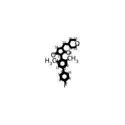 Cc1cc(-c2ccc(F)cc2)cc(C)c1C1C(=O)CC(CC2CCOCC2)C1=O